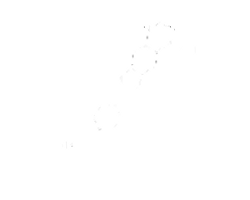 Cc1c(-c2ccc(CC(C)(C)C)cc2)sc2cc3c(O)ncnc3c(C)c12